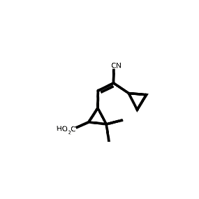 CC1(C)C(C=C(C#N)C2CC2)C1C(=O)O